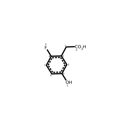 O=C(O)Cc1cc(O)ccc1F